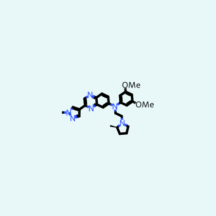 COc1cc(OC)cc(N(CCN2CCC[C@H]2C)c2ccc3ncc(-c4cnn(C)c4)nc3c2)c1